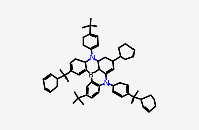 CC(C)(C)C1=CC=C(N2C3CC=C(C(C)(C)C4C=CC=CC4)C=C3B3c4cc(C(C)(C)C)ccc4N(C4C=CC(C(C)(C)C5C=CCCC5)=CC4)C4=CC(C5CCCCC5)CC2C34)CC1